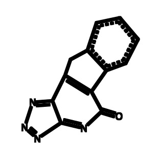 O=C1N=C2N=NN=C2C2=C1c1ccccc1C2